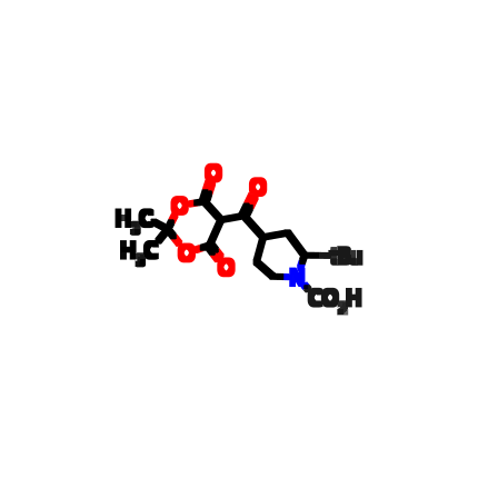 CC1(C)OC(=O)C(C(=O)C2CCN(C(=O)O)C(C(C)(C)C)C2)C(=O)O1